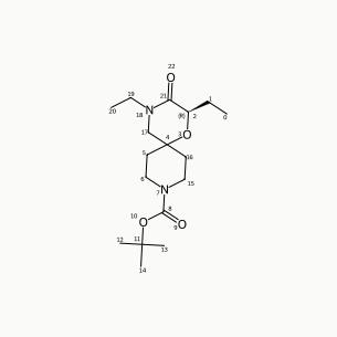 CC[C@H]1OC2(CCN(C(=O)OC(C)(C)C)CC2)CN(CC)C1=O